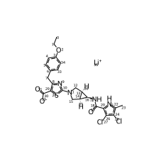 CCOc1ccc(Cc2nc(N3C[C@@H]4[C@H](C3)[C@@H]4NC(=O)c3[nH]c(C)c(Cl)c3Cl)sc2C(=O)[O-])cc1.[Li+]